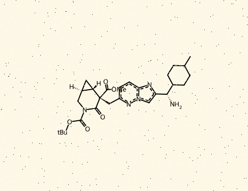 COC(=O)[C@]1(Cc2ccc3nc([C@@H](N)C4CCC(C)CC4)cn3n2)C(=O)N(C(=O)OC(C)(C)C)C[C@H]2C[C@@H]21